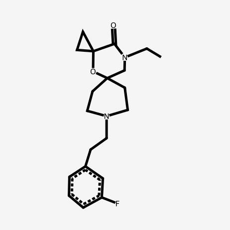 CCN1CC2(CCN(CCc3cccc(F)c3)CC2)OC2(CC2)C1=O